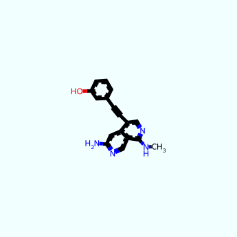 CNc1ncc(C#Cc2cccc(O)c2)c2cc(N)ncc12